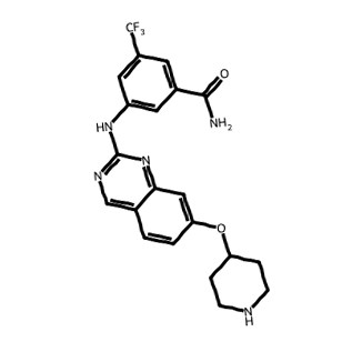 NC(=O)c1cc(Nc2ncc3ccc(OC4CCNCC4)cc3n2)cc(C(F)(F)F)c1